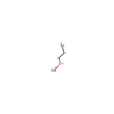 CCCC[O][Cd]